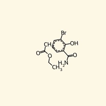 CCOC(C)=O.NC(=O)c1cccc(Br)c1O